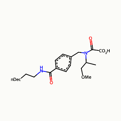 CCCCCCCCCCCCNC(=O)c1ccc(CN(C(=O)C(=O)O)C(C)COC)cc1